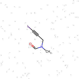 CN(C=O)CC#CI